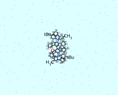 Cc1ccc(N(c2ccc(C(C)(C)C)cc2)c2cc3c(c4c2sc2ccccc24)-c2c(cc(N(c4ccc(C(C)(C)C)cc4)c4ccc(C)cc4-c4ccccc4)c4c2oc2ccccc24)C3(c2cccc(F)c2)c2cccc(F)c2)c(-c2ccccc2)c1